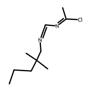 CCCC(C)(C)C/N=C\N=C(/C)Cl